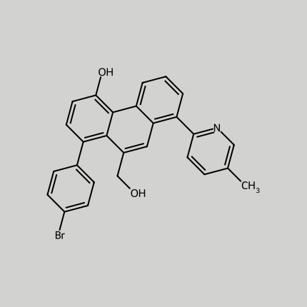 Cc1ccc(-c2cccc3c2cc(CO)c2c(-c4ccc(Br)cc4)ccc(O)c23)nc1